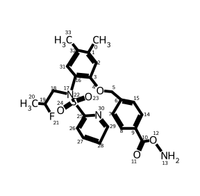 Cc1cc(OCc2ccc(C(=O)ON)cc2)c(N(CC(C)F)S(=O)(=O)c2ccccn2)cc1C